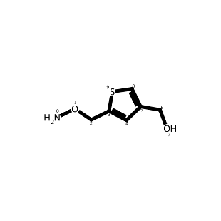 NOCc1cc(CO)cs1